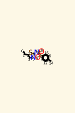 CCC1C[N]C(=NS(=O)(=O)c2ccc(C)cc2)S1